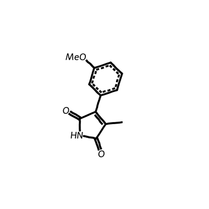 COc1cccc(C2=C(C)C(=O)NC2=O)c1